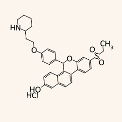 CCS(=O)(=O)c1ccc2c(c1)OC(c1ccc(OCCC3CCCCN3)cc1)c1c-2ccc2cc(O)ccc12.Cl